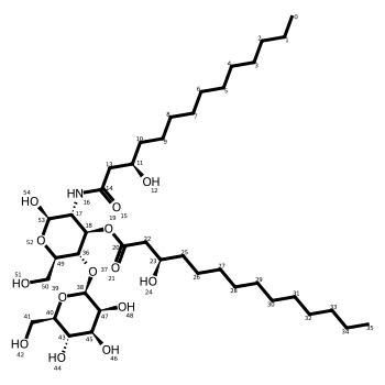 CCCCCCCCCCC[C@@H](O)CC(=O)N[C@@H]1[C@@H](OC(=O)C[C@H](O)CCCCCCCCCCC)[C@H](O[C@@H]2O[C@H](CO)[C@@H](O)[C@H](O)[C@@H]2O)[C@@H](CO)O[C@H]1O